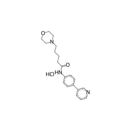 Cl.O=C(CCCCN1CCOCC1)Nc1ccc(-c2cccnc2)cc1